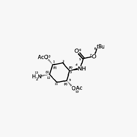 CC(=O)O[C@@H]1C[C@@H](NC(=O)OC(C)(C)C)[C@H](OC(C)=O)C[C@@H]1N